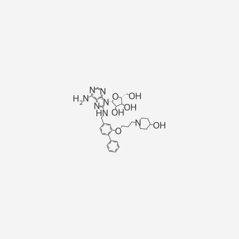 Nc1ncnc2c1nc(NCc1ccc(-c3ccccc3)c(OCCCN3CCC(O)CC3)c1)n2[C@@H]1O[C@H](CO)[C@@H](O)[C@H]1O